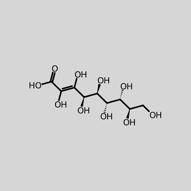 O=C(O)C(O)=C(O)[C@H](O)[C@@H](O)[C@@H](O)[C@H](O)[C@H](O)CO